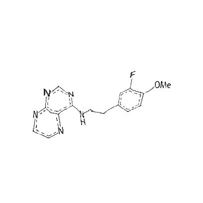 COc1ccc(CCNc2ncnc3nccnc23)cc1F